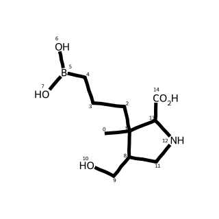 CC1(CCCB(O)O)C(CO)CNC1C(=O)O